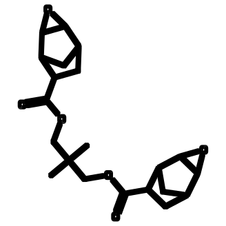 CC(C)(COC(=O)C1CC2CC1C1OC21)COC(=O)C1CC2CC1C1OC21